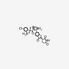 Bc1cc(Cl)ccc1C(F)(F)C(=O)N(B)C(B)c1ccc2c(c1)CN(C1CCC(=O)NC1=O)C2=O